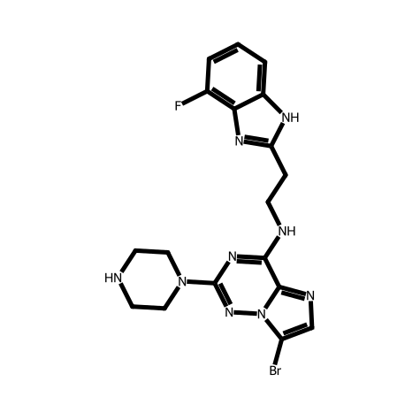 Fc1cccc2[nH]c(CCNc3nc(N4CCNCC4)nn4c(Br)cnc34)nc12